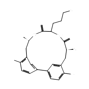 NC[C@H](O)CC1NC(=O)[C@@H](N)Cc2cc(ccc2O)-c2ccc(O)c(c2)C[C@@H](C(=O)O)NC1=O